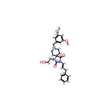 COc1cc(CN2CCC3(CC2)C(=O)N(/C=C/Cc2ccccc2)C(=O)N3CCO)cc(OC)c1